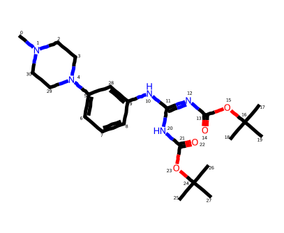 CN1CCN(c2cccc(N/C(=N/C(=O)OC(C)(C)C)NC(=O)OC(C)(C)C)c2)CC1